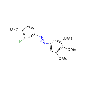 COc1ccc(/N=N/c2cc(OC)c(OC)c(OC)c2)cc1F